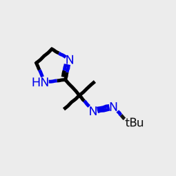 CC(C)(C)N=NC(C)(C)C1=NCCN1